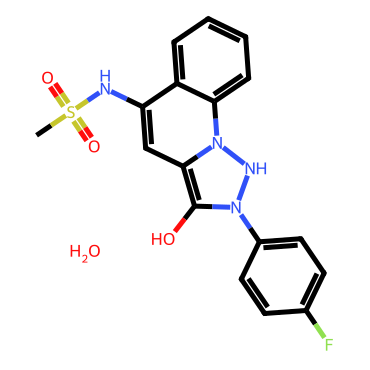 CS(=O)(=O)NC1=CC2=C(O)N(c3ccc(F)cc3)NN2c2ccccc21.O